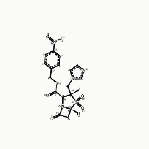 C[C@]1(Cn2ccnc2)[C@H](C(=O)OCc2ccc([N+](=O)[O-])cc2)N2C(=O)C[C@H]2S1(=O)=O